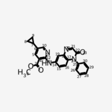 COC(=O)c1cc(C2CC2)cnc1Nc1ccc2c(c1)ncc(=O)n2-c1ccccc1